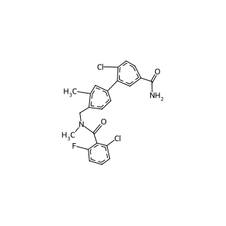 Cc1cc(-c2cc(C(N)=O)ccc2Cl)ccc1CN(C)C(=O)c1c(F)cccc1Cl